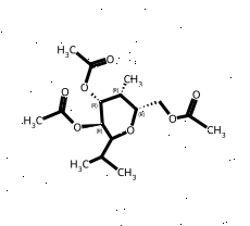 CC(=O)OC[C@@H]1OC(C(C)C)[C@@H](OC(C)=O)[C@H](OC(C)=O)[C@@H]1C